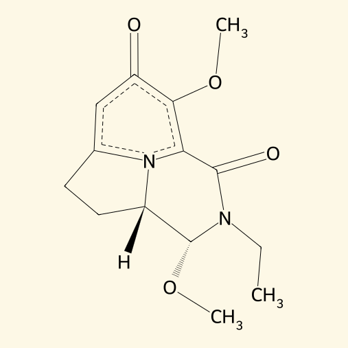 CCN1C(=O)c2c(OC)c(=O)cc3n2[C@@H](CC3)[C@H]1OC